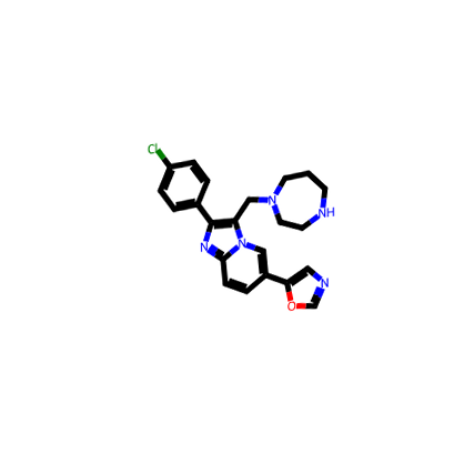 Clc1ccc(-c2nc3ccc(-c4cnco4)cn3c2CN2CCCNCC2)cc1